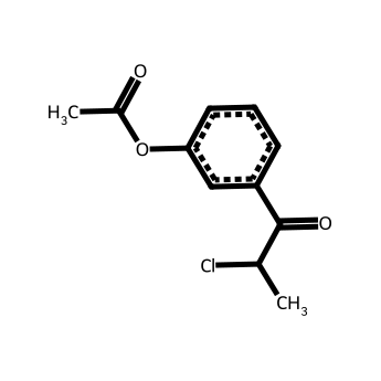 CC(=O)Oc1cccc(C(=O)C(C)Cl)c1